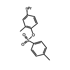 CCCc1ccc(OS(=O)(=O)c2ccc(C)cc2)c(C)c1